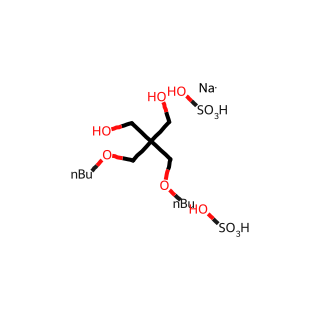 CCCCOCC(CO)(CO)COCCCC.O=S(=O)(O)O.O=S(=O)(O)O.[Na]